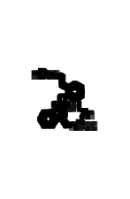 CCCCCCCCCCCCc1ccccc1OP(=O)(S)Sc1ccccc1CCCCCCCCCCCC.[Zn]